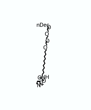 CCCCCCCCCCOCCOCCOCCOCCCCCCCCCCCCNS(=O)(=O)c1ccnn1C